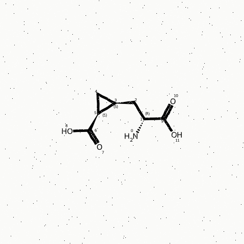 N[C@H](C[C@@H]1C[C@@H]1C(=O)O)C(=O)O